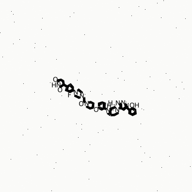 Nc1nnc(-c2ccccc2O)cc1N1CCC2C[C@@H](C1)N(c1cccc(OC3CCN(C(=O)CN4CCN(c5ccc(C6CCC(=O)NC6=O)cc5F)CC4)CC3)c1)C2